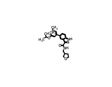 C=N/C=C(\C=C(/C)OC(C)C)c1ccc2[nH]nc(C(=O)NCC3CCOC3)c2c1